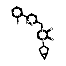 O=c1c(=O)n(C2CC3CC3C2)ccn1Cc1ccc(-c2ccccc2F)nn1